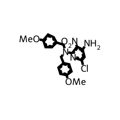 COc1ccc(CN(Cc2ccc(OC)cc2)c2nc(Cl)cc(N)c2[N+](=O)[O-])cc1